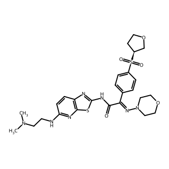 CN(C)CCNc1ccc2nc(NC(=O)/C(=N/N3CCOCC3)c3ccc(S(=O)(=O)[C@H]4CCOC4)cc3)sc2n1